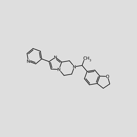 CC(c1ccc2c(c1)OCC2)N1CCn2cc(-c3cccnc3)nc2C1